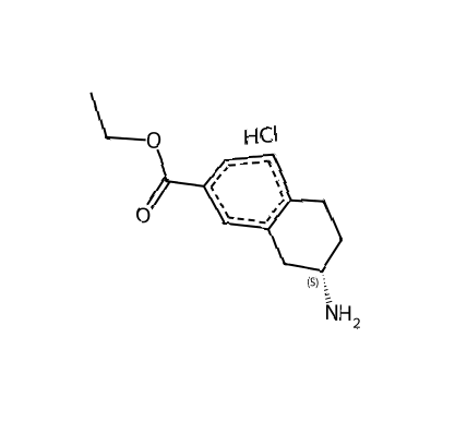 CCOC(=O)c1ccc2c(c1)C[C@@H](N)CC2.Cl